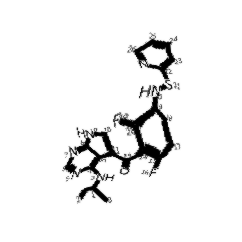 CC(C)Nc1ncnc2[nH]cc(C(=O)c3c(F)ccc(NSc4ccccn4)c3F)c12